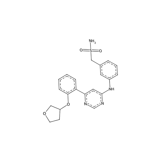 NS(=O)(=O)Cc1cccc(Nc2cc(-c3ccccc3OC3CCOC3)ncn2)c1